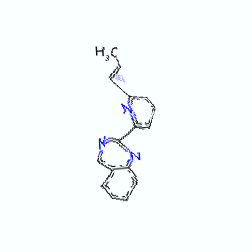 C/C=C/c1cccc(-c2ncc3ccccc3n2)n1